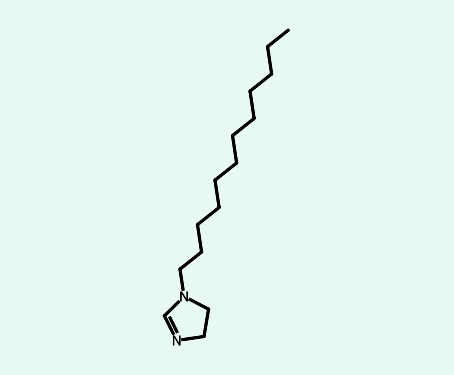 CCCCCCCCCCCCN1C=NCC1